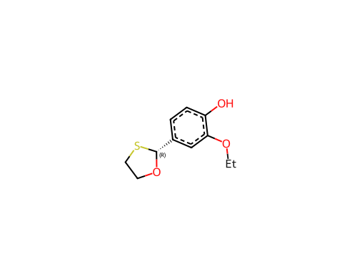 CCOc1cc([C@@H]2OCCS2)ccc1O